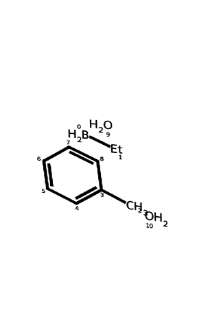 BCC.Cc1ccccc1.O.O